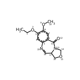 CCOc1cc2c(cc1OC)C(=O)N1COCC1C=N2